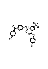 CCN1CCN(C(=O)c2ccc(NC(=O)[C@H]3CN(S(C)(=O)=O)C[C@@H]3C(=O)Nc3ccc(Cl)cc3)cc2)CC1